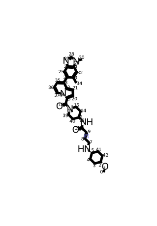 CO[C@H]1CC[C@H](NC/C=C/C(=O)NC2CCN(C(=O)c3ccc4c(-c5cc6ncn(C)c6cc5C)cccn34)CC2)CC1